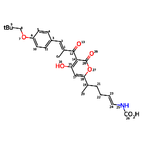 C/C(=C\c1ccc(OCC(C)(C)C)cc1)C(=O)c1c(O)cc(C(C)CCC=CNC(=O)O)oc1=O